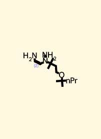 CCCC(C)(C)OCCC(C)(C)N(N)/C=C\N